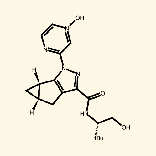 CC(C)(C)[C@@H](CO)NC(=O)c1nn(-c2c[n+](O)ccn2)c2c1C[C@@H]1C[C@H]21